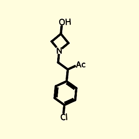 CC(=O)C(CN1CC(O)C1)c1ccc(Cl)cc1